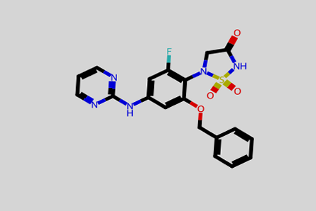 O=C1CN(c2c(F)cc(Nc3ncccn3)cc2OCc2ccccc2)S(=O)(=O)N1